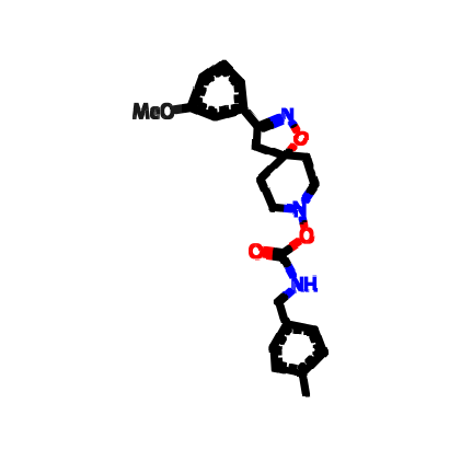 COc1cccc(C2=NOC3(CCN(OC(=O)NCc4ccc(C)cc4)CC3)C2)c1